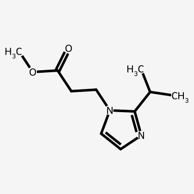 COC(=O)CCn1ccnc1C(C)C